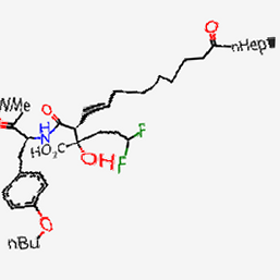 CCCCCCCC(=O)CCCCCCC=C[C@H](C(=O)N[C@@H](Cc1ccc(OCCCC)cc1)C(=O)NC)[C@@](O)(CC(F)F)C(=O)O